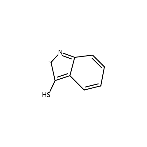 SC1=c2ccccc2=N[C]1